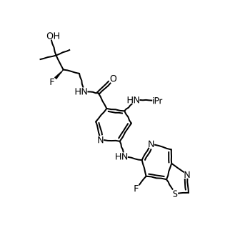 CC(C)Nc1cc(Nc2ncc3ncsc3c2F)ncc1C(=O)NC[C@@H](F)C(C)(C)O